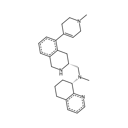 CN1CC=C(c2cccc3c2C[C@H](CN(C)[C@H]2CCCc4cccnc42)NC3)CC1